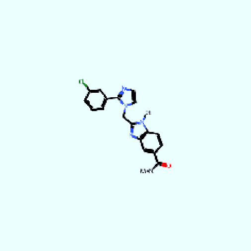 CCn1c(Cn2ccnc2-c2cccc(Cl)c2)nc2cc(C(=O)NC)ccc21